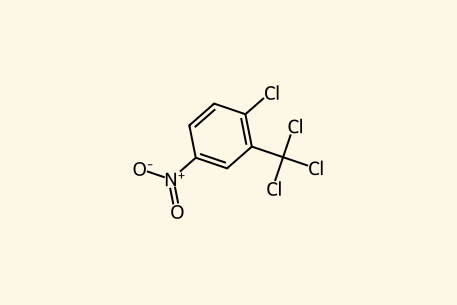 O=[N+]([O-])c1ccc(Cl)c(C(Cl)(Cl)Cl)c1